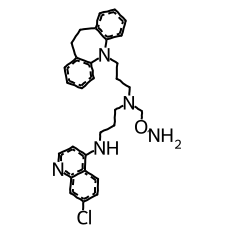 NOCN(CCCNc1ccnc2cc(Cl)ccc12)CCCN1c2ccccc2CCc2ccccc21